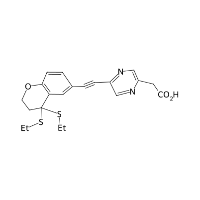 CCSC1(SCC)CCOc2ccc(C#Cc3cnc(CC(=O)O)cn3)cc21